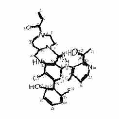 C=CC(=O)N1CCN2C(=N)c3c(Nc4c(C)ccnc4C(C)O)nc(-c4c(O)cccc4F)c(Cl)c3NCC2C1